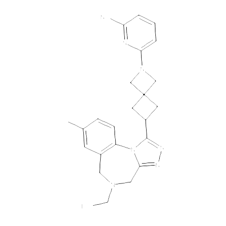 N#Cc1cccc(N2CC3(CC(c4nnc5n4-c4ccc(Cl)cc4CN(CC(F)(F)F)C5)C3)C2)n1